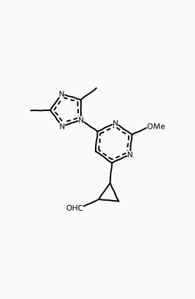 COc1nc(C2CC2C=O)cc(-n2nc(C)nc2C)n1